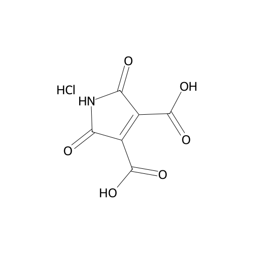 Cl.O=C(O)C1=C(C(=O)O)C(=O)NC1=O